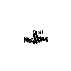 O=C(O)C1CCN(c2nc(COCC(F)(F)F)cnc2-c2ccc(OCC3CC3)cc2)CC1